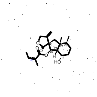 C=C1COC(=O)[C@]12C[C@@]1(C)[C@@H]([C@H]2OC(=O)/C(C)=C\C)[C@@H](O)CC[C@@H]1C